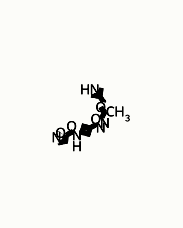 CC(OCC1CNC1)c1nnc(C2CC(NC(=O)c3ccno3)C2)o1